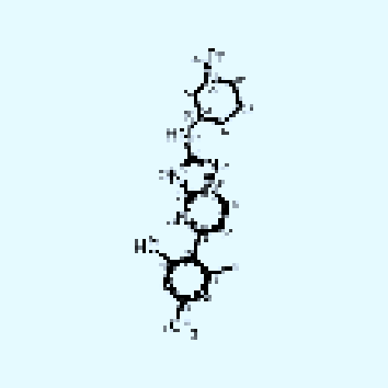 Cc1cc(C(F)(F)F)cc(O)c1-c1ccn2nc(N[C@@H]3CCCN(C(C)C)C3)nc2n1